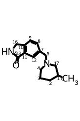 CC1CCCN(Cc2ccc3c(c2)C(=O)NC3)C1